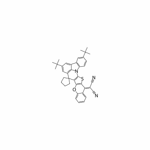 CC(C)(C)c1ccc2c(c1)c1cc(C(C)(C)C)cc3c1n2-c1sc2c(c1C31CCCC1)Oc1ccccc1C2=C(C#N)C#N